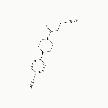 C#CCCC(=O)N1CCN(c2ccc(C#N)cc2)CC1